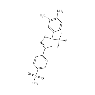 Cc1cc(C2(C(F)(F)F)CC(c3ccc(S(C)(=O)=O)cc3)=NO2)ccc1N